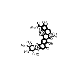 COC(=O)c1c(C)cc2c(c1O)[C@]1(O)C(=O)c3cc4c(c(O)c3C(=O)[C@]1(OC)[C@H](O)C2)C(=O)C=C(N[C@H]1O[C@@H](C)[C@H](OC)[C@@H](O)[C@H]1C=O)C4=O